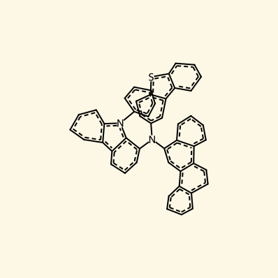 c1ccc(-n2c3ccccc3c3cccc(N(c4ccc5sc6ccccc6c5c4)c4cc5c6ccccc6ccc5c5ccccc45)c32)cc1